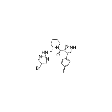 O=C(c1n[nH]cc1-c1ccc(F)cc1)N1CCCC[C@H]1CNc1ncc(Br)cn1